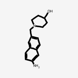 Nc1ccc2cc(CN3CCC(O)CC3)ccc2c1